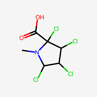 CN1C(Cl)C(Cl)C(Cl)C1(Cl)C(=O)O